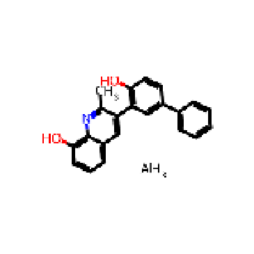 Cc1nc2c(O)cccc2cc1-c1cc(-c2ccccc2)ccc1O.[AlH3]